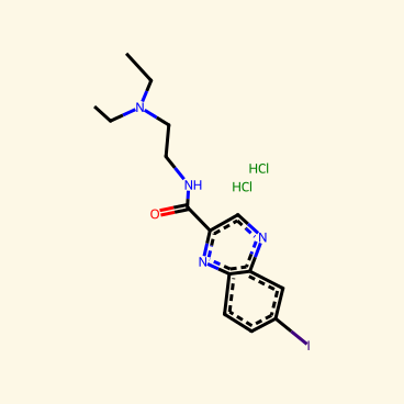 CCN(CC)CCNC(=O)c1cnc2cc(I)ccc2n1.Cl.Cl